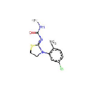 CCCNC(=O)N=C1SCCN1c1cc(Cl)ccc1[N+](=O)[O-]